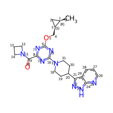 C[C@@H]1C[C@@H]1COc1nc(C(=O)N2CCC2)nc(N2CCC(c3n[nH]c4ncccc34)CC2)n1